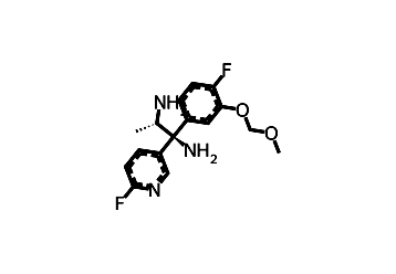 COCOc1cc([C@](N)(c2ccc(F)nc2)[C@H](C)N)ccc1F